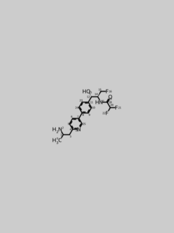 CC(N)Cc1ccc(-c2ccc([C@H](O)[C@@H](CF)NC(=O)C(F)F)cc2)cn1